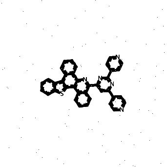 c1ccc2c(c1)sc1c2c2ccccc2c2nc(-c3cc(-c4ccncc4)nc(-c4ccncc4)n3)c3ccccc3c21